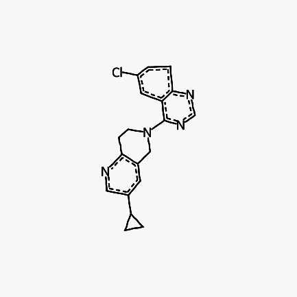 Clc1ccc2ncnc(N3CCc4ncc(C5CC5)cc4C3)c2c1